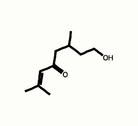 CC(C)=CC(=O)CC(C)CCO